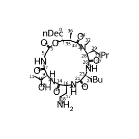 CCCCCCCCCC[C@H]1OC(=O)CNC(=O)[C@H](C(C)O)NC(=O)[C@H](CCN)NC(=O)[C@H](C(C)CC)NC(=O)[C@H](CC(C)C)N(C)C(=O)[C@@H]1C